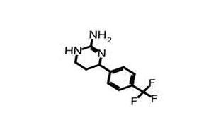 NC1=NC(c2ccc(C(F)(F)F)cc2)CCN1